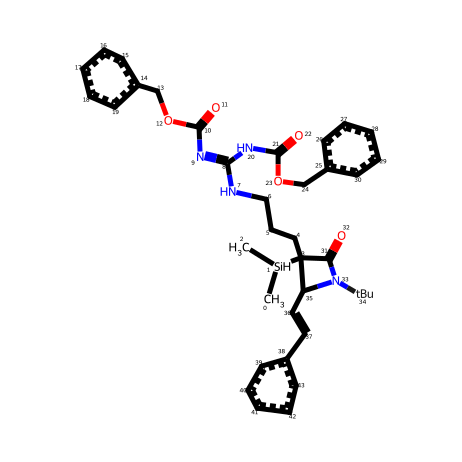 C[SiH](C)C1(CCCNC(=NC(=O)OCc2ccccc2)NC(=O)OCc2ccccc2)C(=O)N(C(C)(C)C)C1C=Cc1ccccc1